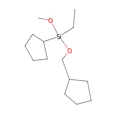 CC[Si](OC)(OCC1CCCC1)C1CCCC1